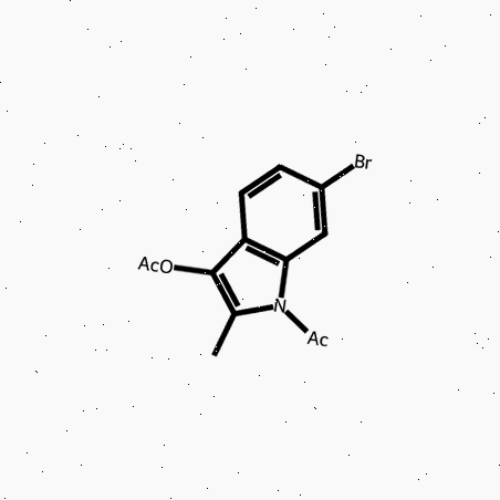 CC(=O)Oc1c(C)n(C(C)=O)c2cc(Br)ccc12